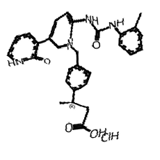 Cc1ccccc1NC(=O)NC1=CC=C(c2ccc[nH]c2=O)CN1Cc1ccc([C@H](C)CC(=O)O)cc1.Cl